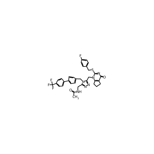 CC(=O)NCc1nnc(Cn2c(SCc3ccc(F)cc3)nc(=O)c3c2CCC3)n1Cc1ccc(-c2ccc(C(F)(F)F)cc2)cc1